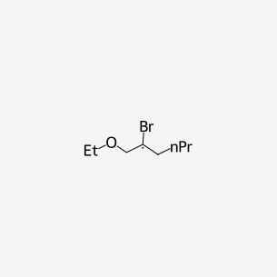 CCCC[C](Br)COCC